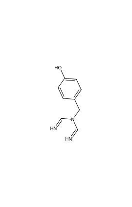 N=CN(C=N)Cc1ccc(O)cc1